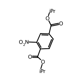 CC(C)OC(=O)c1ccc(C(=O)OC(C)C)c([N+](=O)[O-])c1